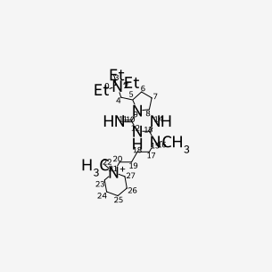 CC[N+](CC)(CC)CC1CCCN1C(=N)NC(=N)N(C)CCCC[N+]1(C)CCCCC1